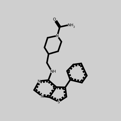 NC(=O)N1CCC(CNc2ncnc3scc(-c4ccccc4)c23)CC1